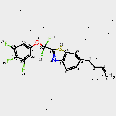 C=CCCc1ccc2nc(C(F)(F)Oc3cc(F)c(F)c(F)c3)sc2c1